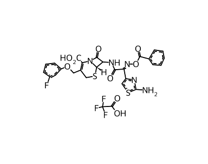 Nc1nc(C(=NOC(=O)c2ccccc2)C(=O)NC2C(=O)N3C(C(=O)O)=C(COc4cccc(F)c4)CS[C@@H]23)cs1.O=C(O)C(F)(F)F